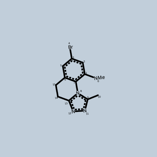 CNc1cc(Br)cc2c1-n1c(C)nnc1CC2